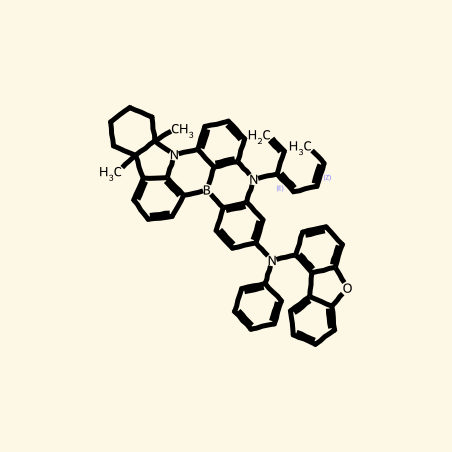 C=C/C(=C\C=C/C)N1c2cc(N(c3ccccc3)c3cccc4oc5ccccc5c34)ccc2B2c3cccc4c3N(c3cccc1c32)C1(C)CCCCC41C